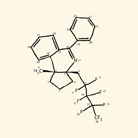 C[C@]12CCC[C@@]1(CC(F)(F)C(F)(F)C(F)(F)C(F)(F)F)N=C(c1ccccc1)c1ccccc12